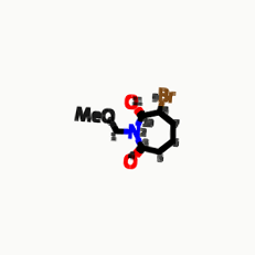 COCN1C(=O)CCCC(Br)C1=O